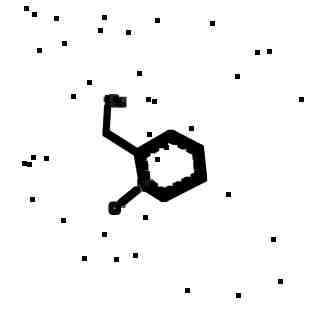 CC(C)(C)Cc1cccc[n+]1[O-]